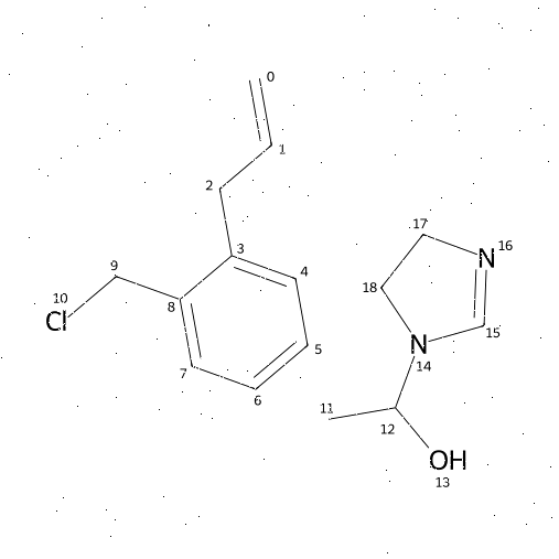 C=CCc1ccccc1CCl.CC(O)N1C=NCC1